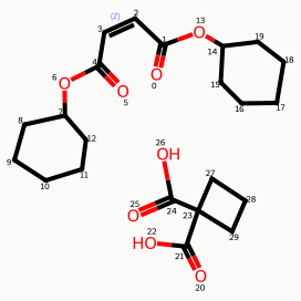 O=C(/C=C\C(=O)OC1CCCCC1)OC1CCCCC1.O=C(O)C1(C(=O)O)CCC1